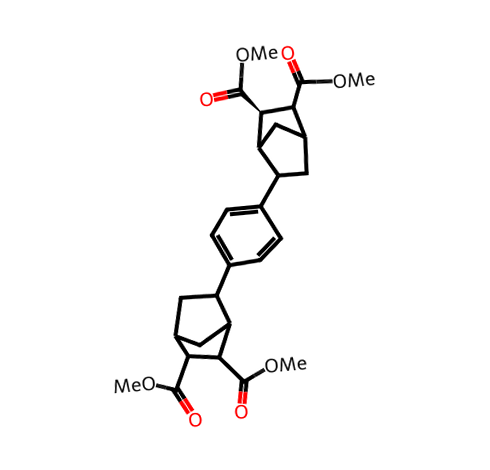 COC(=O)C1C2CC(c3ccc(C4CC5CC4[C@@H](C(=O)OC)C5C(=O)OC)cc3)C(C2)C1C(=O)OC